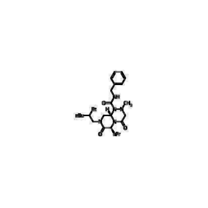 CCCCC(CC)CN1C[C@H]2N(C(=O)CN(C)N2C(=O)NCc2ccccc2)[C@@H](CCC)C1=O